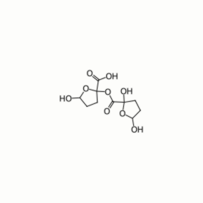 O=C(OC1(C(=O)O)CCC(O)O1)C1(O)CCC(O)O1